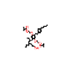 C=C/C=C(\C=C(\CC)Cc1cc(OCCOC(=O)C(=C)C)c(CCc2ccc(CCCCC)cc2)cc1OCCOC(=O)C(=C)C)CCCO